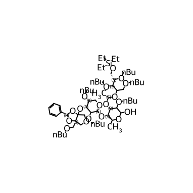 CCCCOCC(O[C@H](C)O[C@H]1C(OCCCC)C(O)OC(C)[C@@H]1O[C@@H]1OC[C@@H](OCCCC)[C@@H](OC23COC[C@]2(COCCCC)O[C@@H](c2ccccc2)O3)C1OCCCC)[C@@H](OCCCC)[C@H](CO[Si](CC)(CC)CC)OCCCC